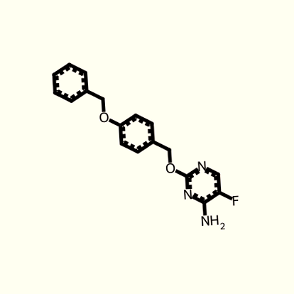 Nc1nc(OCc2ccc(OCc3ccccc3)cc2)ncc1F